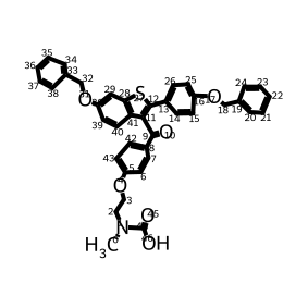 CN(CCOc1ccc(C(=O)c2c(-c3ccc(OCc4ccccc4)cc3)sc3cc(OCc4ccccc4)ccc23)cc1)C(=O)O